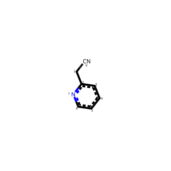 N#CCc1[c]cccn1